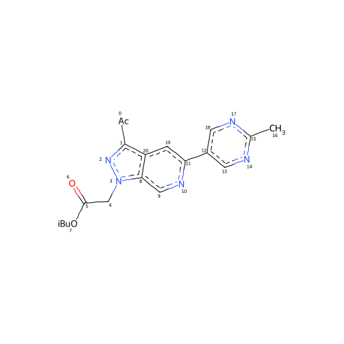 CC(=O)c1nn(CC(=O)OCC(C)C)c2cnc(-c3cnc(C)nc3)cc12